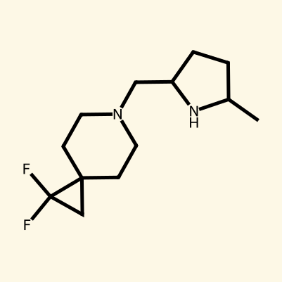 CC1CCC(CN2CCC3(CC2)CC3(F)F)N1